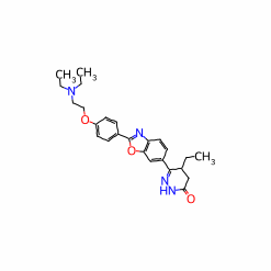 CCC1CC(=O)NN=C1c1ccc2nc(-c3ccc(OCCN(CC)CC)cc3)oc2c1